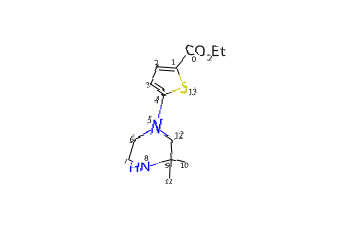 CCOC(=O)c1ccc(N2CCNC(C)(C)C2)s1